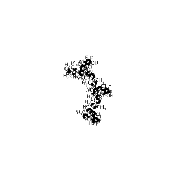 C=CC(=O)N1[C@H](C)CN(c2c(C#N)c(=O)n(-c3c(C)cc(/C=C\C(=O)N4[C@H](C)CN(c5c(C#N)c(=O)n(-c6c(C)cc(/C=C\C(=O)N7[C@H](C)CN(c8c(C#N)c(=O)n(-c9c(C)ccnc9C(C)C)c9nc(-c%10c(Cl)c(O)c(F)c(F)c%10Cl)c(Cl)cc89)C[C@@H]7C)nc6C(C)C)c6nc(-c7c(Cl)c(O)c(F)c(F)c7Cl)c(Cl)cc56)C[C@@H]4C)nc3C(C)C)c3nc(-c4c(Cl)c(O)c(F)c(F)c4Cl)c(Cl)cc23)C[C@@H]1C